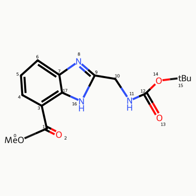 COC(=O)c1cccc2nc(CNC(=O)OC(C)(C)C)[nH]c12